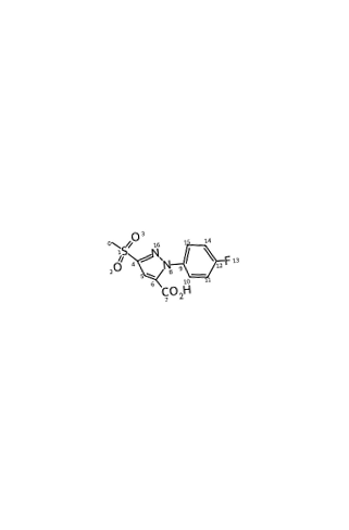 CS(=O)(=O)c1cc(C(=O)O)n(-c2ccc(F)cc2)n1